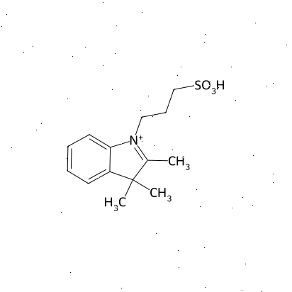 CC1=[N+](CCCS(=O)(=O)O)c2ccccc2C1(C)C